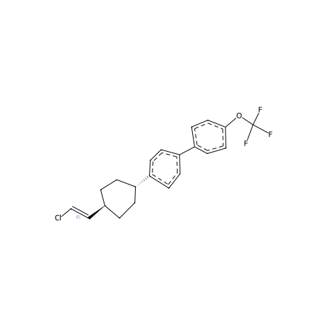 FC(F)(F)Oc1ccc(-c2ccc([C@H]3CC[C@H](/C=C/Cl)CC3)cc2)cc1